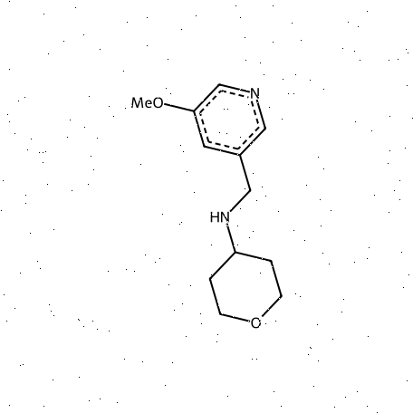 COc1cncc(CNC2CCOCC2)c1